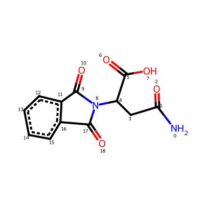 NC(=O)CC(C(=O)O)N1C(=O)c2ccccc2C1=O